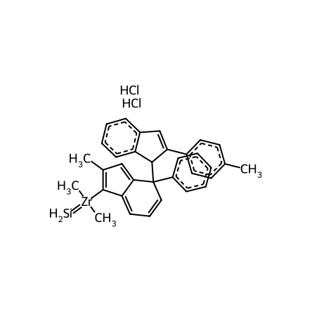 CC1=[C]([Zr]([CH3])([CH3])=[SiH2])C2=CC=CC(c3ccccc3)(C3C(c4ccc(C)cc4)=Cc4ccccc43)C2=C1.Cl.Cl